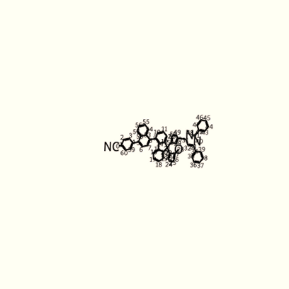 N#Cc1ccc(-c2ccc(-c3cccc4c3-c3ccccc3C43c4ccccc4Oc4c(-c5cc(-c6ccccc6)nc(-c6ccccc6)n5)cccc43)c3ccccc23)cc1